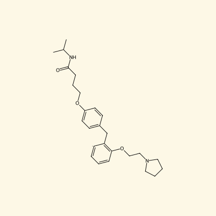 CC(C)NC(=O)CCCOc1ccc(Cc2[c]cccc2OCCN2CCCC2)cc1